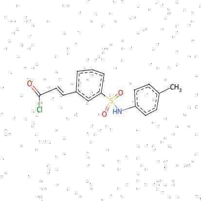 Cc1ccc(NS(=O)(=O)c2cccc(C=CC(=O)Cl)c2)cc1